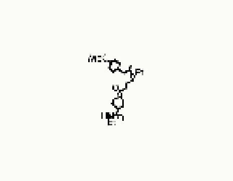 CCNC(=O)C1CCN(C(=O)CCCN(CC)C(C)Cc2ccc(OC)cc2)CC1